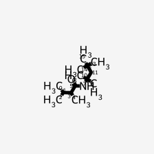 CC(C)C(C)C(=O)NC(C)(C)CC(C)(C)C